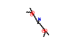 CCCCCC(CCCC)OC(=O)CCCCCCCCC1(CCN(C)C)CC1CCCCCCCC(=O)OC(CCCC)CCCCC